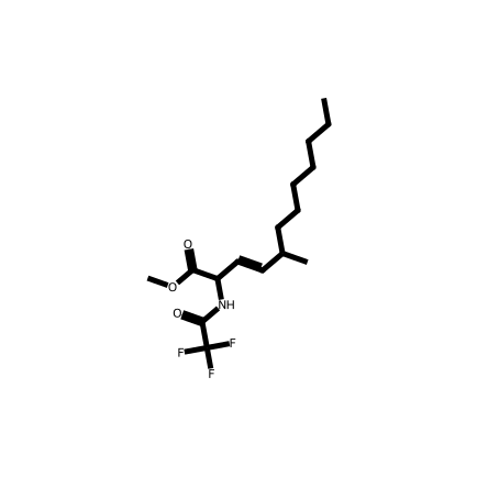 CCCCCCCC(C)/C=C/C(NC(=O)C(F)(F)F)C(=O)OC